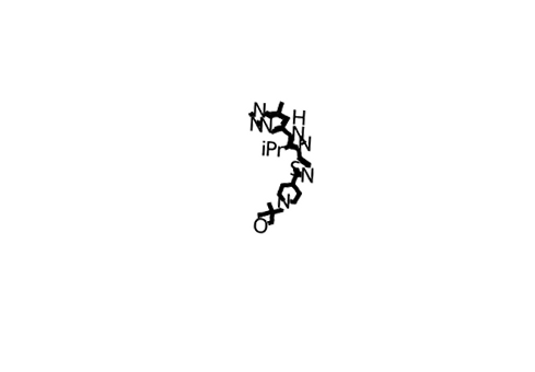 Cc1cc(-c2[nH]nc(-c3cnc(C4CCN(CC5(C)COC5)CC4)s3)c2C(C)C)cn2ncnc12